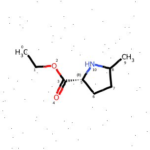 CCOC(=O)[C@H]1CCC(C)N1